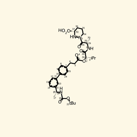 CC(C)[C@H](OC(=O)CCc1ccc(-c2cccc([C@@H](C)NC(=O)OC(C)(C)C)c2)cc1)C(=O)N[C@@H](C)C(=O)N1CCC[C@@H](C(=O)O)N1